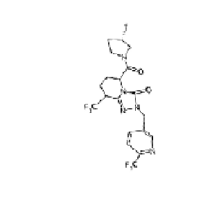 O=C(C1CCC(C(F)(F)F)c2nn(Cc3ccc(C(F)(F)F)nc3)c(=O)n21)N1CC[C@H](F)C1